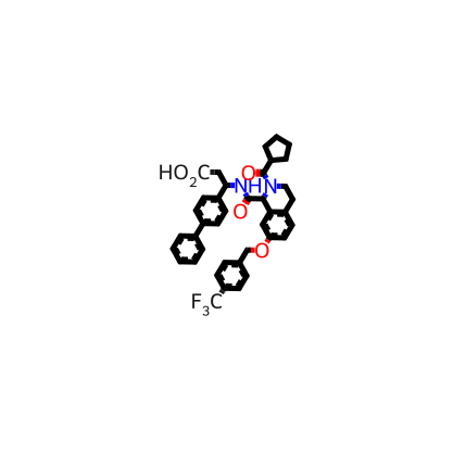 O=C(O)CC(NC(=O)C1c2cc(OCc3ccc(C(F)(F)F)cc3)ccc2CCN1C(=O)C1CCCC1)c1ccc(-c2ccccc2)cc1